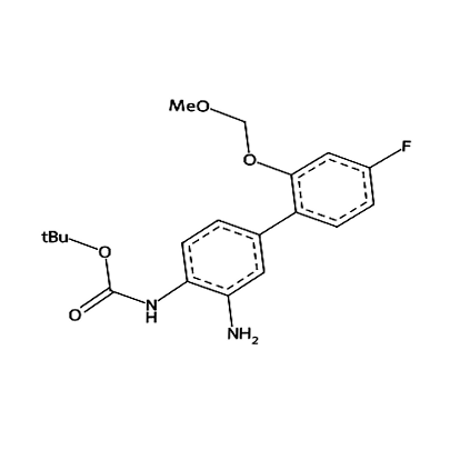 COCOc1cc(F)ccc1-c1ccc(NC(=O)OC(C)(C)C)c(N)c1